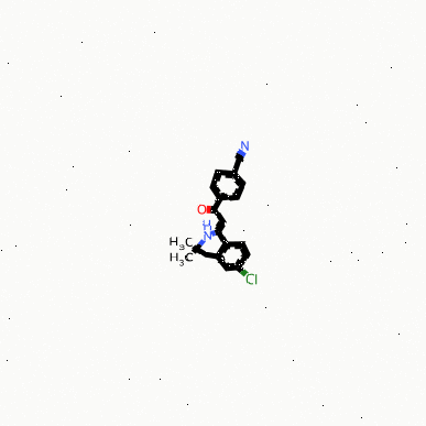 CC1(C)Cc2cc(Cl)ccc2C(=CC(=O)c2ccc(C#N)cc2)N1